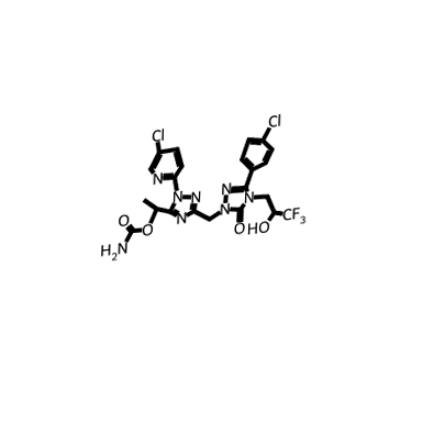 CC(OC(N)=O)c1nc(Cn2nc(-c3ccc(Cl)cc3)n(CC(O)C(F)(F)F)c2=O)nn1-c1ccc(Cl)cn1